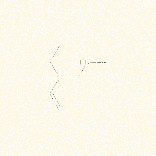 C=C[SiH](CC)CNC